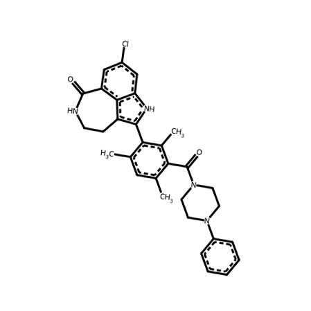 Cc1cc(C)c(-c2[nH]c3cc(Cl)cc4c3c2CCNC4=O)c(C)c1C(=O)N1CCN(c2ccccc2)CC1